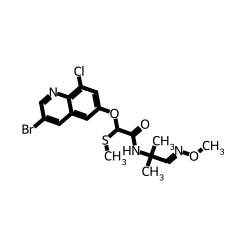 CON=CC(C)(C)NC(=O)C(Oc1cc(Cl)c2ncc(Br)cc2c1)SC